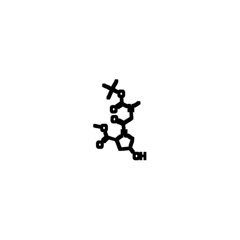 COC(=O)[C@@H]1CC(O)CN1C(=O)CN(C)C(=O)OC(C)(C)C